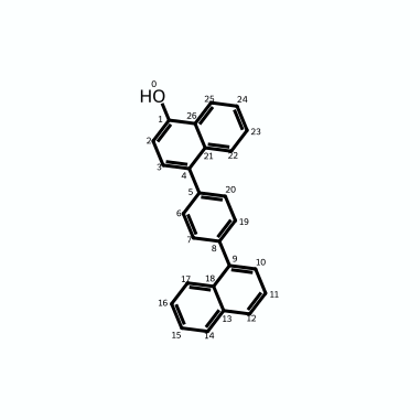 Oc1ccc(-c2ccc(-c3cccc4ccccc34)cc2)c2ccccc12